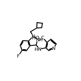 O=C(O)c1ccncc1NC1NN(CC2CCC2)c2ccc(F)cc21